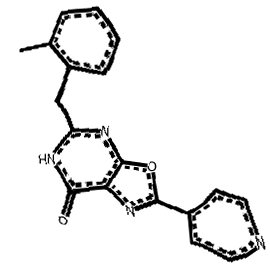 Cc1ccccc1Cc1nc2oc(-c3ccncc3)nc2c(=O)[nH]1